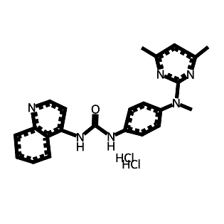 Cc1cc(C)nc(N(C)c2ccc(NC(=O)Nc3ccnc4ccccc34)cc2)n1.Cl.Cl